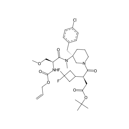 C=CCOC(=O)N[C@@H](COC)C(=O)N(C)[C@@]1(Cc2ccc(Cl)cc2)CCCN(C(=O)[C@@H](CC(=O)OC(C)(C)C)C2CC(F)(F)C2)C1